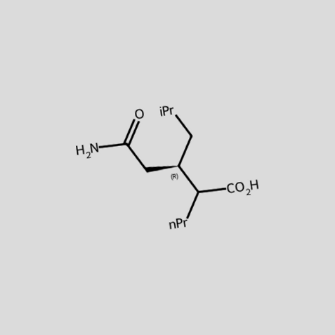 CCCC(C(=O)O)[C@@H](CC(N)=O)CC(C)C